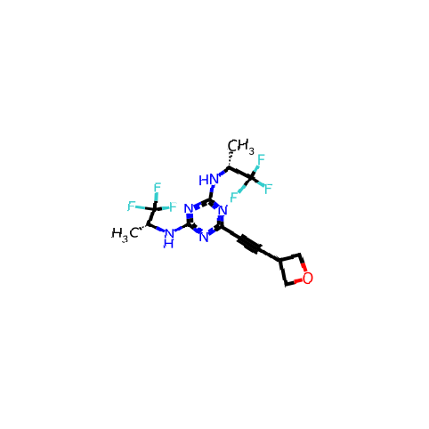 C[C@@H](Nc1nc(C#CC2COC2)nc(N[C@H](C)C(F)(F)F)n1)C(F)(F)F